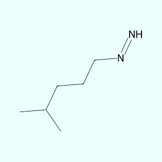 CC(C)CCCN=N